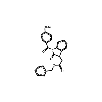 COc1ccc(C(=O)N2C(=O)C(CC(=O)OCc3ccccc3)c3ccccc32)cc1